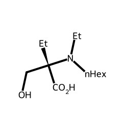 CCCCCCN(CC)[C@@](CC)(CO)C(=O)O